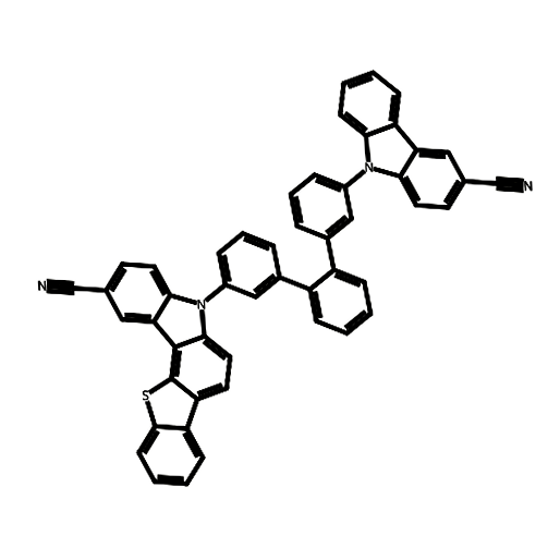 N#Cc1ccc2c(c1)c1ccccc1n2-c1cccc(-c2ccccc2-c2cccc(-n3c4ccc(C#N)cc4c4c5sc6ccccc6c5ccc43)c2)c1